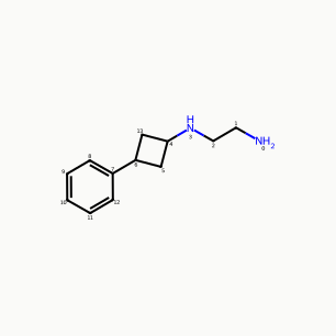 NCCNC1CC(c2ccccc2)C1